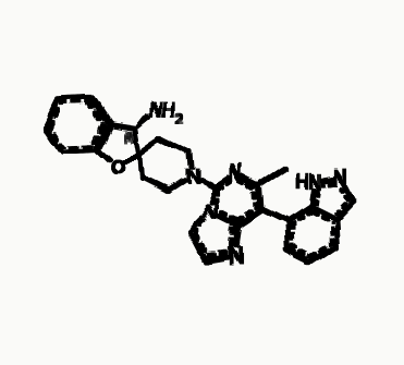 Cc1nc(N2CCC3(CC2)Oc2ccccc2[C@H]3N)n2ccnc2c1-c1cccc2cn[nH]c12